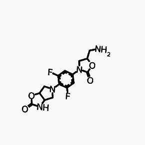 NCC1CN(c2cc(F)c(N3CC4NC(=O)OC4C3)c(F)c2)C(=O)O1